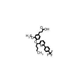 CCCCC(Oc1ccc(CCC(=O)O)cc1OC)c1cccc(-c2ccc(C(F)(F)F)cc2)n1